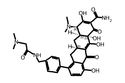 CN(C)CC(=O)NCc1ccc(-c2ccc(O)c3c2C[C@H]2C[C@H]4[C@@H](N(C)C)C(O)=C(C(N)=O)C(=O)[C@@]4(O)C(O)=C2C3=O)cc1